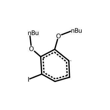 CCCCOc1[c]ccc(I)c1OCCCC